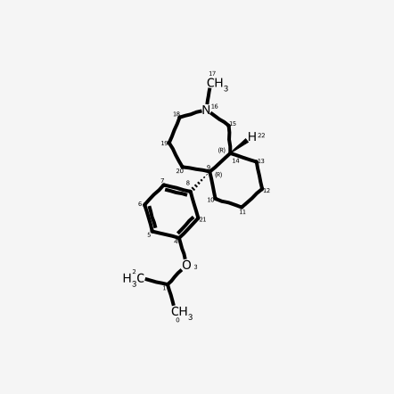 CC(C)Oc1cccc([C@@]23CCCC[C@H]2CN(C)CCC3)c1